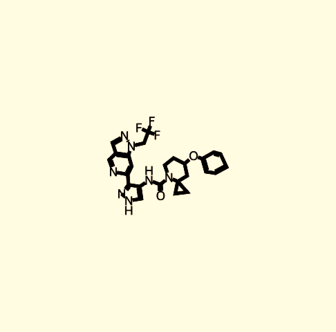 O=C(Nc1c[nH]nc1-c1cc2c(cn1)cnn2CC(F)(F)F)N1CCC(Oc2ccccc2)CC12CC2